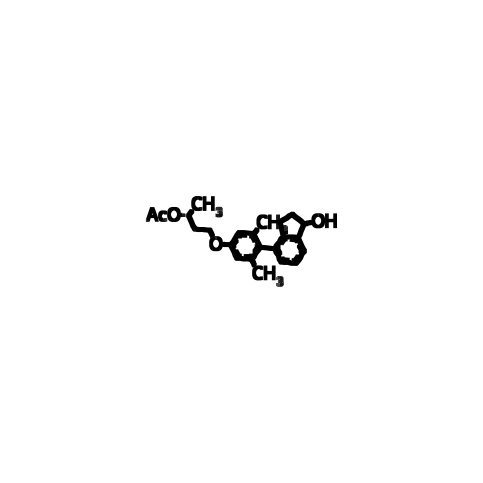 CC(=O)O[C@H](C)CCOc1cc(C)c(-c2cccc3c2CCC3O)c(C)c1